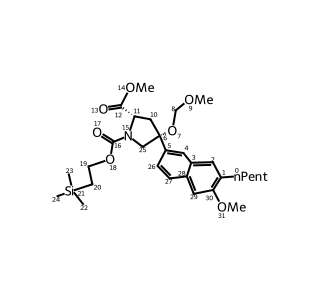 CCCCCc1cc2cc([C@]3(OCOC)C[C@@H](C(=O)OC)N(C(=O)OCC[Si](C)(C)C)C3)ccc2cc1OC